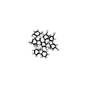 C=C(c1ccc(C)cc1-c1cc(C)ccc1C)c1c(C#N)c(-n2c3ccccc3c3ccccc32)c(C#N)c(-n2c3ccc(C)cc3c3cc(C)ccc32)c1-c1ccc(C)cc1